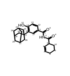 O=C(NC(=O)C1C=CCCC1)c1ccc(O)c(C23CC4CC(CC(C4)C2)C3)c1